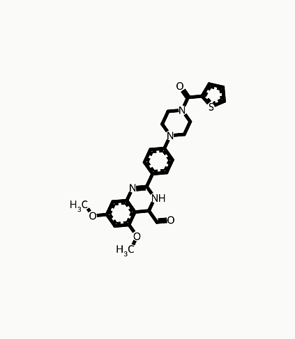 COc1cc2c(c(OC)c1)C(C=O)NC(c1ccc(N3CCN(C(=O)c4cccs4)CC3)cc1)=N2